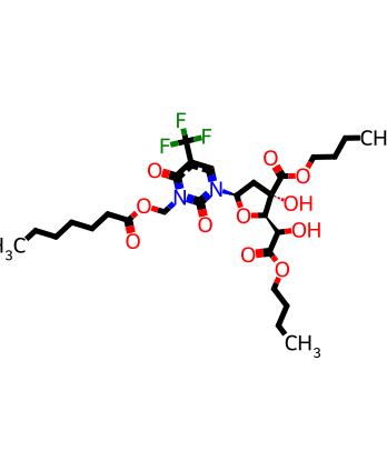 CCCCCCC(=O)OCn1c(=O)c(C(F)(F)F)cn([C@H]2C[C@@](O)(C(=O)OCCCC)[C@@H](C(O)C(=O)OCCCC)O2)c1=O